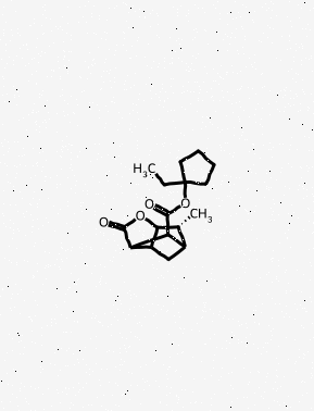 CCC1(OC(=O)C2C3C(=O)OC4C3CC2[C@H]4C)CCCC1